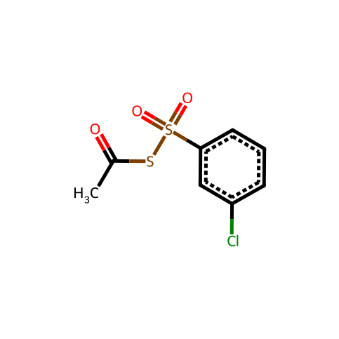 CC(=O)SS(=O)(=O)c1cccc(Cl)c1